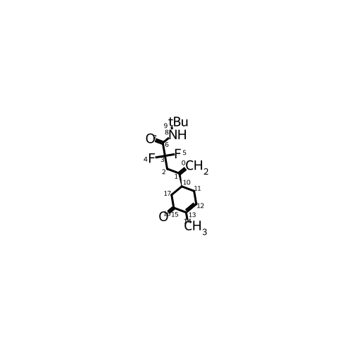 C=C(CC(F)(F)C(=O)NC(C)(C)C)[C@H]1CC=C(C)C(=O)C1